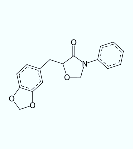 O=C1C(Cc2ccc3c(c2)OCO3)OCN1c1ccccc1